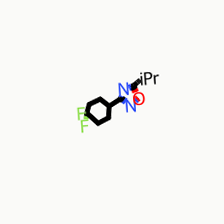 CC(C)c1nc(C2CCC(F)(F)CC2)no1